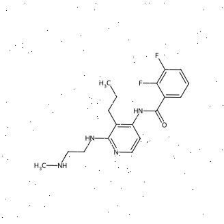 CCCc1c(NC(=O)c2cccc(F)c2F)ccnc1NCCNC